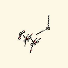 CCCCCCCCCCCCC[CH2][Pd][CH2]CCCCCCCCCCCCC.CCCCCCCCc1cccc(C2=C(CCCC)C(CCCC)=C(c3cccc(CCCC)c3)[N+]2=[N-])c1.CCCCCc1cccc(C2=C(CCCC)C(CCCC)=C(c3cccc(CCCC)c3)[N+]2=[N-])c1.c1ccc(C[O][Ni][O]Cc2ccccc2)cc1